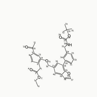 CCOC(=O)Cc1ccc(C(C)=O)cc1OCc1cc(-c2cccc(CNC(=O)OC(C)(C)C)c2)c2occc2c1